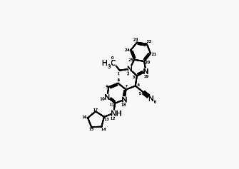 CCn1c(C(C#N)c2ccnc(NC3CCCC3)n2)nc2ccccc21